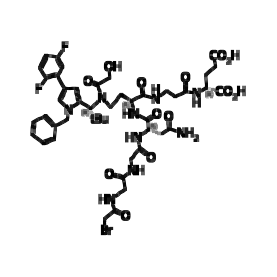 CC(C)(C)[C@H](c1cc(-c2cc(F)ccc2F)cn1Cc1ccccc1)N(CC[C@H](NC(=O)[C@H](CC(N)=O)NC(=O)CNC(=O)CNC(=O)CBr)C(=O)NCCC(=O)N[C@H](CCC(=O)O)C(=O)O)C(=O)CO